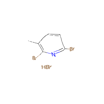 Br.Cc1ccc(Br)nc1Br